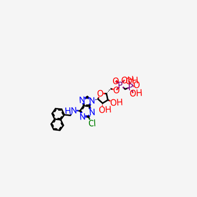 O=P(O)(O)CP(=O)(O)OC[C@H]1O[C@@H](n2cnc3c(NCc4cccc5ccccc45)nc(Cl)nc32)[C@@H](O)C1O